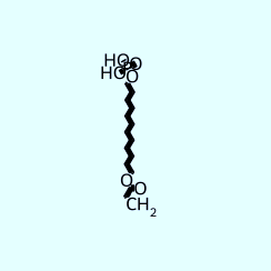 C=CC(=O)OCCCCCCCCCCCCOP(=O)(O)O